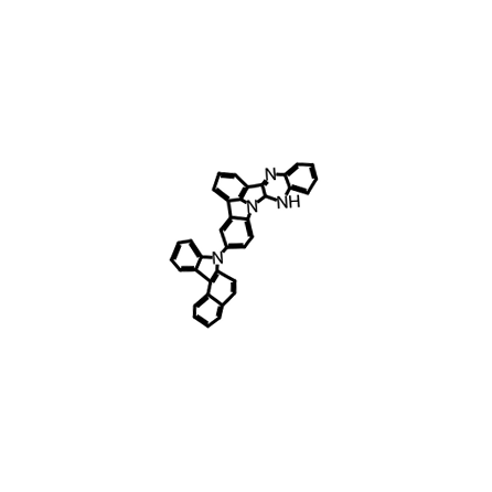 c1ccc2c(c1)N=C1c3cccc4c5cc(-n6c7ccccc7c7c8ccccc8ccc76)ccc5n(c34)C1N2